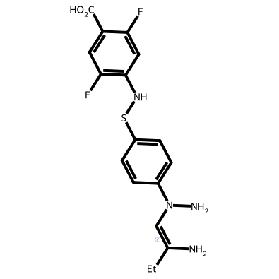 CC/C(N)=C/N(N)c1ccc(SNc2cc(F)c(C(=O)O)cc2F)cc1